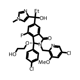 CCC(O)(c1cc(F)c2c(c1)C(=O)N(Cc1ncc(Cl)cc1OC)[C@@]2(OCCO)c1ccc(Cl)cc1)c1cn(C)cn1